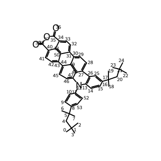 CC(C)(C)CC(C)(C)c1ccc(-n2c3ccc(C(C)(C)CC(C)(C)C)cc3c3ccc4c5ccc6c(=O)oc(=O)c7ccc(c8ccc2c3c48)c5c67)cc1